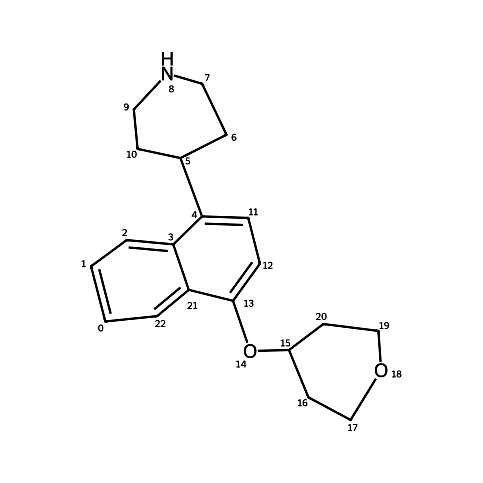 c1ccc2c(C3CCNCC3)ccc(OC3CCOCC3)c2c1